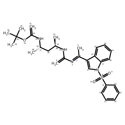 C=C(/N=C(\C)c1cn(S(=O)(=O)c2ccccc2)c2ccccc12)N[C@H](C)C[C@H](C)NC(=C)OC(C)(C)C